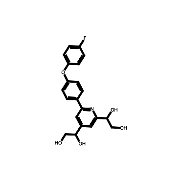 OCC(O)c1cc(-c2ccc(Oc3ccc(F)cc3)cc2)nc(C(O)CO)c1